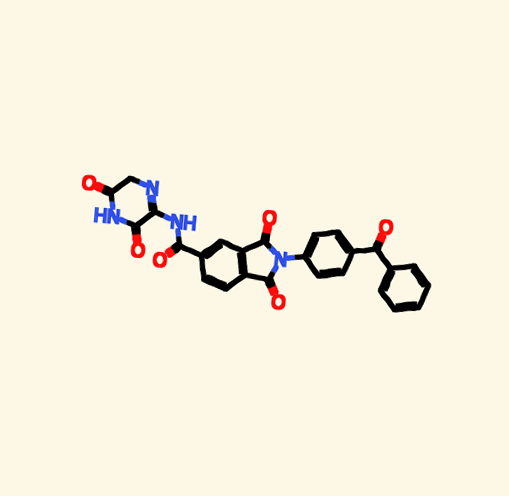 O=C1CN=C(NC(=O)c2ccc3c(c2)C(=O)N(c2ccc(C(=O)c4ccccc4)cc2)C3=O)C(=O)N1